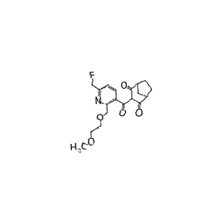 COCCOCc1nc(CF)ccc1C(=O)C1C(=O)C2CCC(C2)C1=O